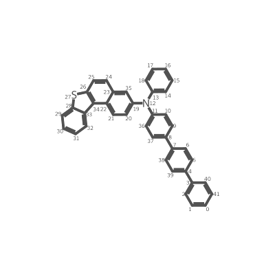 c1ccc(-c2ccc(-c3ccc(N(c4ccccc4)c4ccc5c(ccc6sc7ccccc7c65)c4)cc3)cc2)cc1